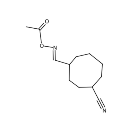 CC(=O)ON=CC1CCCCC(C#N)CC1